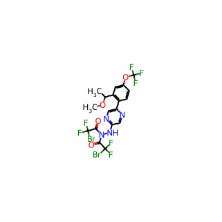 COC(C)c1cc(OC(F)(F)F)ccc1-c1cnc(NN(C(=O)C(F)(F)Br)C(=O)C(F)(F)Br)cn1